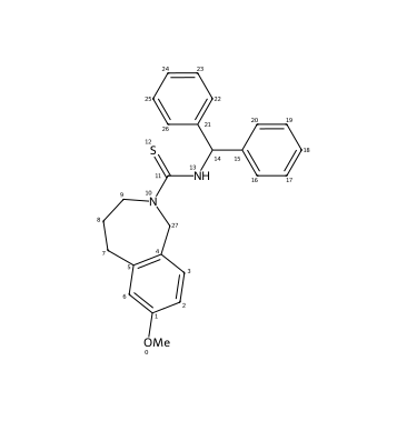 COc1ccc2c(c1)CCCN(C(=S)NC(c1ccccc1)c1ccccc1)C2